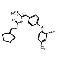 O=C(CCC1CCCC1)N/C(=C\c1ccc(Oc2ccc([N+](=O)[O-])cc2C(F)(F)F)cc1)C(=O)O